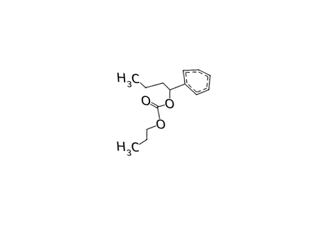 CCCOC(=O)OC(CCC)c1ccccc1